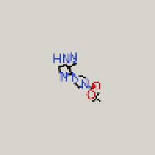 CC(C)(C)OC(=O)N1CCN(c2nccc3[nH]ncc23)CC1